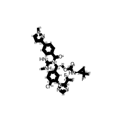 CNC(=N)N(C(=O)c1ccc(-c2ccn(C)n2)cc1)[C@H](COC(=O)N[C@H]1CC1(F)F)c1ccc(Cl)c(-n2ncnc2C(F)F)c1